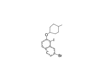 CC1CCC(Oc2ccc3ccc(Br)cc3c2I)CC1